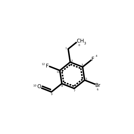 CCc1c(F)c(Br)cc(C=O)c1F